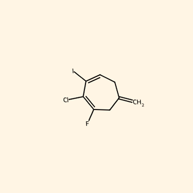 C=C1CC=C(I)C(Cl)=C(F)C1